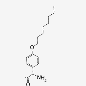 CCCCCCCCOc1ccc(C(N)[C]=O)cc1